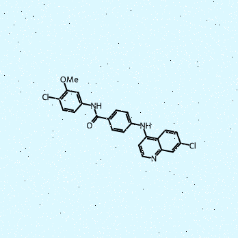 COc1cc(NC(=O)c2ccc(Nc3ccnc4cc(Cl)ccc34)cc2)ccc1Cl